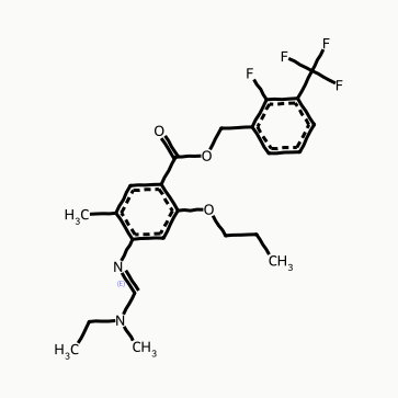 CCCOc1cc(/N=C/N(C)CC)c(C)cc1C(=O)OCc1cccc(C(F)(F)F)c1F